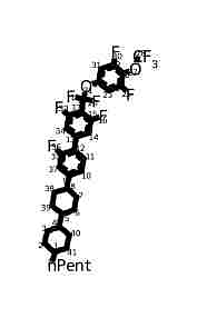 CCCCCC1CCC(C2CCC(c3ccc(-c4cc(F)c(C(F)(F)Oc5cc(F)c(OC(F)(F)F)c(F)c5)c(F)c4)c(F)c3)CC2)CC1